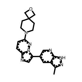 Cc1n[nH]c2ncc(-c3cnc4ccc(N5CCC6(CC5)COC6)nn34)cc12